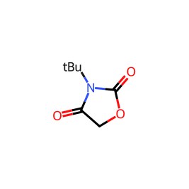 CC(C)(C)N1C(=O)COC1=O